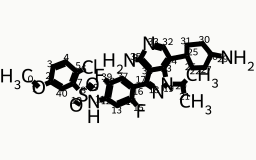 COc1ccc(Cl)c(S(=O)(=O)Nc2cc(F)c(-c3nn(C(C)C)c4c(C5CCC(N)CC5)cnc(N)c34)cc2F)c1